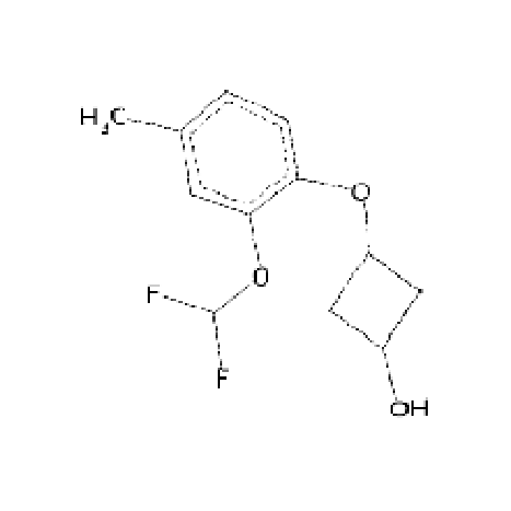 Cc1ccc(OC2CC(O)C2)c(OC(F)F)c1